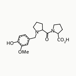 COc1cc(CN2CCCC2C(=O)N2CCCC2C(=O)O)ccc1O